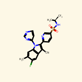 Cc1cc2c(cc1F)c(C#N)c(-c1ccc(S(=O)(=O)N[C@@H](C)C(F)(F)F)cn1)n2-c1ccncn1